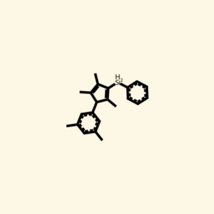 CC1=C(C)C(c2cc(C)cc(C)c2)C(C)=C1[SiH2]c1ccccc1